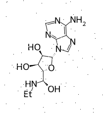 CCN[C@H](O)[C@H]1O[C@@H](n2cnc3c(N)ncnc32)[C@H](O)[C@@H]1O